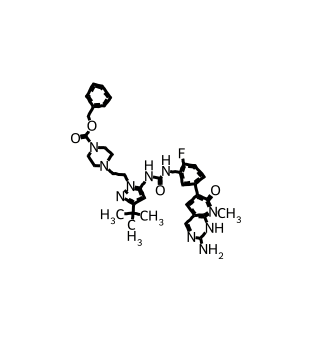 Cn1c2c(cc(-c3ccc(F)c(NC(=O)Nc4cc(C(C)(C)C)nn4CCN4CCN(C(=O)OCc5ccccc5)CC4)c3)c1=O)C=NC(N)N2